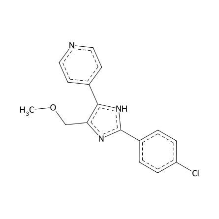 COCc1nc(-c2ccc(Cl)cc2)[nH]c1-c1ccncc1